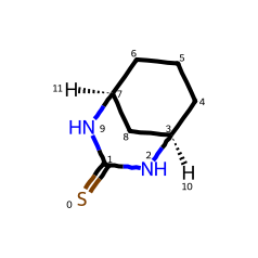 S=C1N[C@@H]2CCC[C@@H](C2)N1